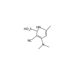 CC1=CC(N(C)C)=C(C#N)C(S(=O)(=O)O)N1